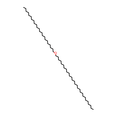 CCCCCCCCCCCCCCCCCCCCCCCCCCC[CH]OCCCCCCCCCCCCCCCCCCCCCCC